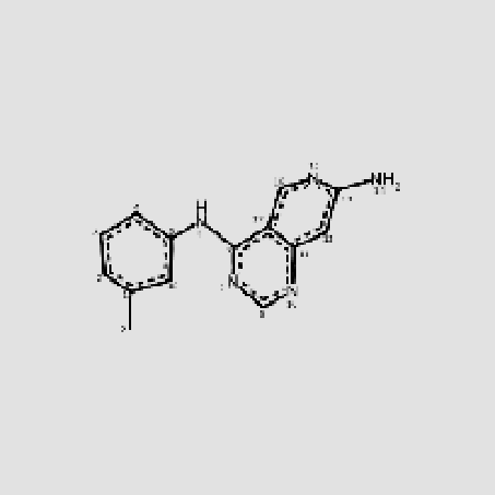 Cc1cccc(Nc2ncnc3cc(N)ncc23)c1